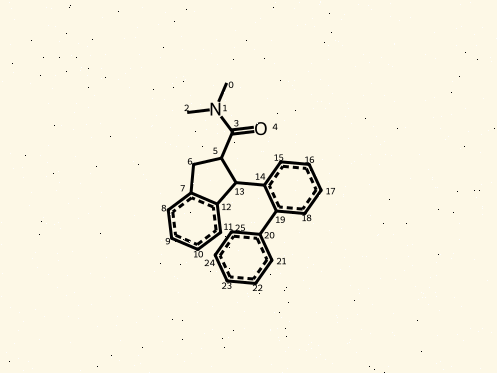 CN(C)C(=O)C1Cc2ccccc2C1c1ccccc1-c1ccccc1